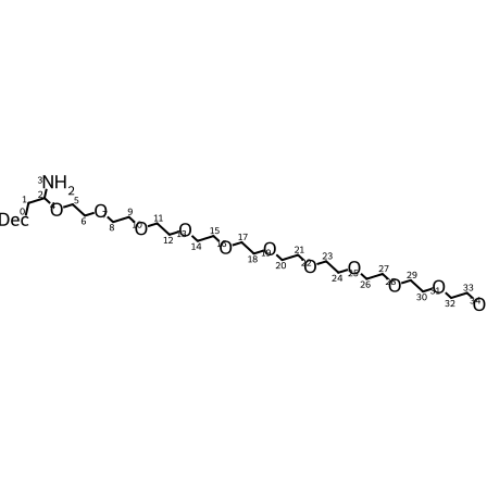 CCCCCCCCCCCC(N)OCCOCCOCCOCCOCCOCCOCCOCCOCCOCCO